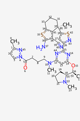 Cc1ccn(C(=O)CCCN(C)c2cc(O[C@@H](C)[C@@H]3CCCN3C)nc(-c3cc([C@]4(C)CCCc5sc(N)c(C#N)c54)sn3)n2)n1